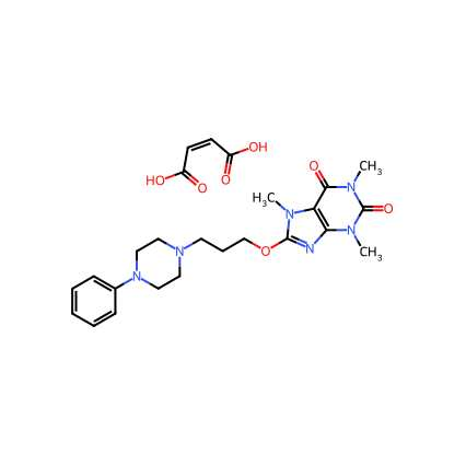 Cn1c(=O)c2c(nc(OCCCN3CCN(c4ccccc4)CC3)n2C)n(C)c1=O.O=C(O)/C=C\C(=O)O